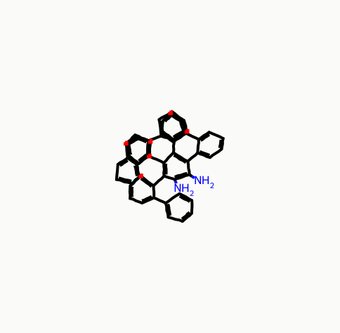 Nc1c(N)c(-c2ccccc2-c2ccccc2)c(-c2cccc3ccccc23)c(-c2ccccc2-c2ccccc2)c1-c1ccccc1-c1ccccc1